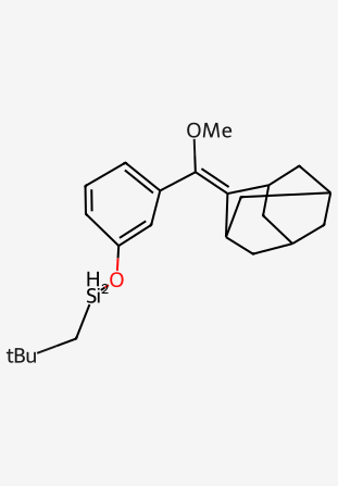 COC(=C1C2CC3CC(C2)CC1C3)c1cccc(O[SiH2]CC(C)(C)C)c1